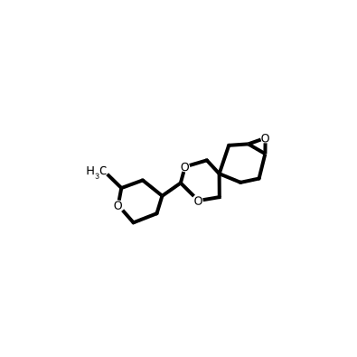 CC1CC(C2OCC3(CCC4OC4C3)CO2)CCO1